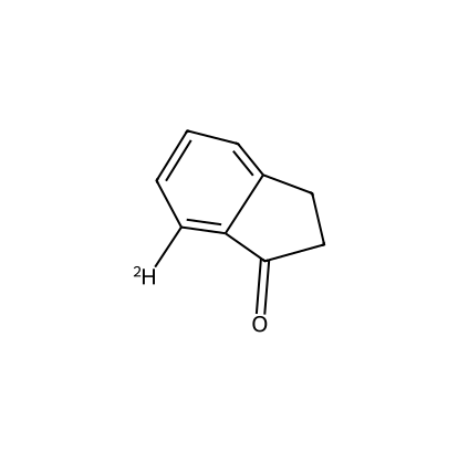 [2H]c1cccc2c1C(=O)CC2